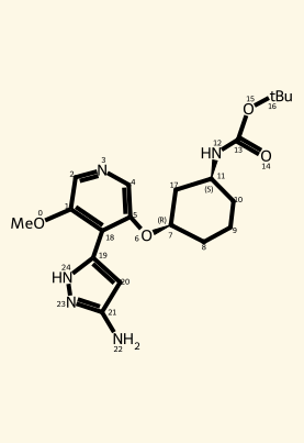 COc1cncc(O[C@@H]2CCC[C@H](NC(=O)OC(C)(C)C)C2)c1-c1cc(N)n[nH]1